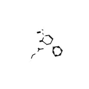 CCOC(=O)C[C@@H]1C(=O)N([SH](=O)=O)C=C[C@@H]1c1ccccc1